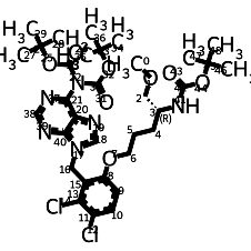 COC[C@@H](CCCOc1ccc(Cl)c(Cl)c1Cn1cnc2c(N(C(=O)OC(C)(C)C)C(=O)OC(C)(C)C)ncnc21)NC(=O)OC(C)(C)C